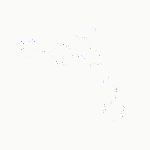 Nc1nc2cc(-c3ccn[nH]3)ccc2n2cc(CNC(=O)c3ccccn3)cc12